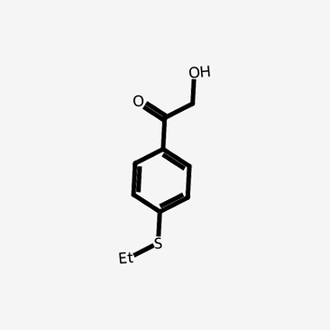 CCSc1ccc(C(=O)CO)cc1